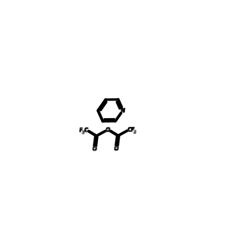 O=C(OC(=O)C(F)(F)F)C(F)(F)F.c1ccncc1